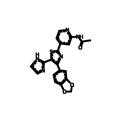 CC(=O)Nc1cc(-c2nc(-c3ccc4c(c3)OCO4)c(-c3ncc[nH]3)s2)ccn1